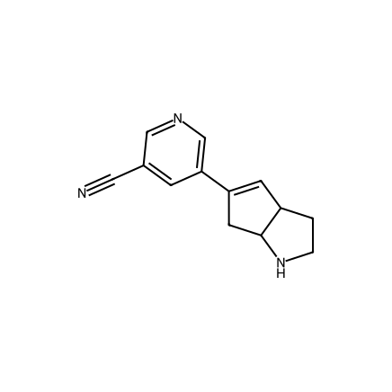 N#Cc1cncc(C2=CC3CCNC3C2)c1